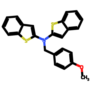 COc1ccc(CN(c2cc3ccccc3s2)c2cc3ccccc3s2)cc1